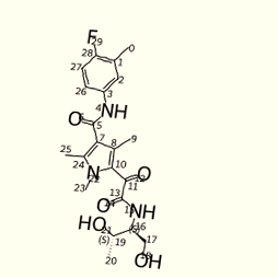 Cc1cc(NC(=O)c2c(C)c(C(=O)C(=O)N[C@@H](CO)[C@H](C)O)n(C)c2C)ccc1F